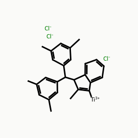 CC1=[C]([Ti+3])c2ccccc2C1C(c1cc(C)cc(C)c1)c1cc(C)cc(C)c1.[Cl-].[Cl-].[Cl-]